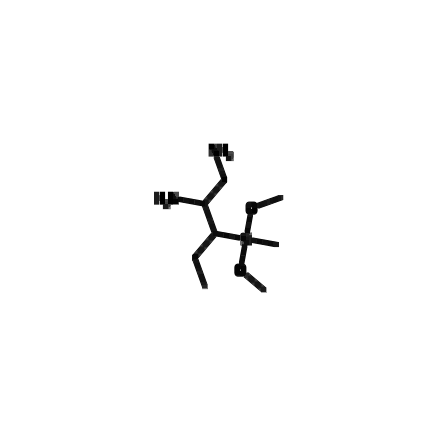 CCC(C(N)CN)[Si](C)(OC)OC